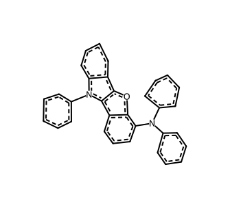 c1ccc(N(c2ccccc2)c2cccc3c2oc2c4ccccc4n(-c4ccccc4)c32)cc1